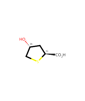 O=C(O)[C@@H]1C[C@@H](O)CS1